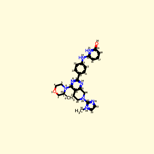 C[C@H]1COCCN1c1nc(-c2ccc(Nc3cccc(=O)[nH]3)cc2)nc2c1CCN(c1nccn1C)C2